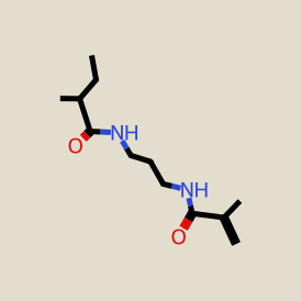 C=C(C)C(=O)NCCCNC(=O)C(C)CC